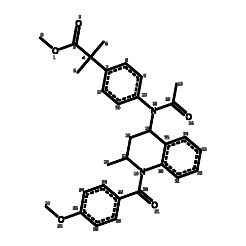 COC(=O)C(C)(C)c1ccc(N(C(C)=O)C2CC(C)N(C(=O)c3ccc(OC)cc3)c3ccccc32)cc1